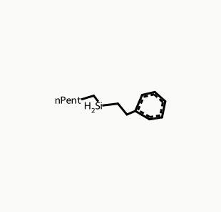 CCCCCC[SiH2]CCc1ccccc1